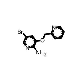 Nc1ncc(Br)cc1OCc1ccccn1